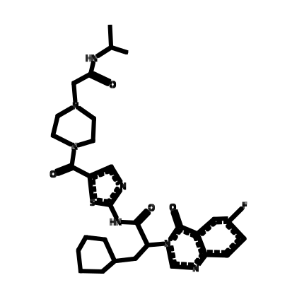 CC(C)NC(=O)CN1CCN(C(=O)c2cnc(NC(=O)C(CC3CCCCC3)n3cnc4ccc(F)cc4c3=O)s2)CC1